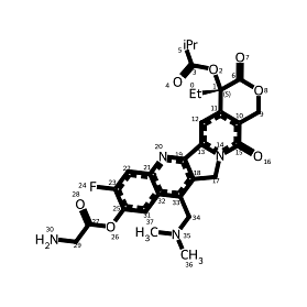 CC[C@@]1(OC(=O)C(C)C)C(=O)OCc2c1cc1n(c2=O)Cc2c-1nc1cc(F)c(OC(=O)CN)cc1c2CN(C)C